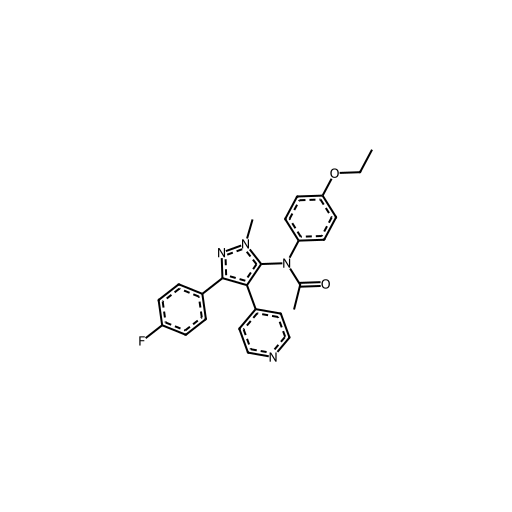 CCOc1ccc(N(C(C)=O)c2c(-c3ccncc3)c(-c3ccc(F)cc3)nn2C)cc1